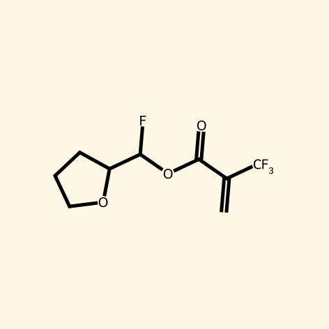 C=C(C(=O)OC(F)C1CCCO1)C(F)(F)F